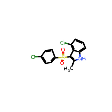 Cc1[nH]c2cccc(Cl)c2c1S(=O)(=O)c1ccc(Cl)cc1